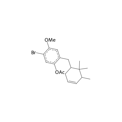 COc1cc(CC2CC=CC(C)C2(C)C)c(OC(C)=O)cc1Br